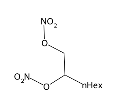 CCCCCCC(CO[N+](=O)[O-])O[N+](=O)[O-]